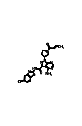 CC=CC(=O)N1CCC(n2nc(C(=O)Nc3nc4cc(Cl)ccc4o3)c3c(N)ncnc32)C1